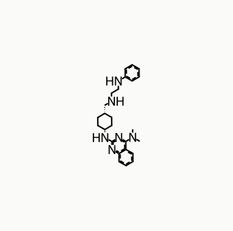 CN(C)c1nc(N[C@H]2CC[C@@H](CNCCNc3ccccc3)CC2)nc2ccccc12